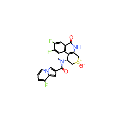 CN(C(=O)c1cc2c(F)cccn2c1)[C@H]1C[S@+]([O-])Cc2[nH]c(=O)c3cc(F)c(F)cc3c21